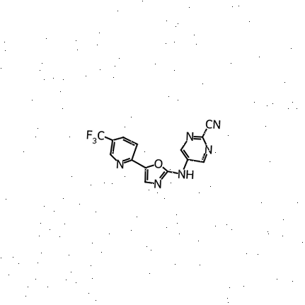 N#Cc1ncc(Nc2ncc(-c3ccc(C(F)(F)F)cn3)o2)cn1